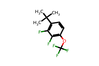 CC(C)(C)c1ccc(OC(F)(F)F)c(F)c1F